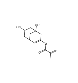 C=C(C)C(=O)OC1=CC2CC(O)CC(O)(C1)C2